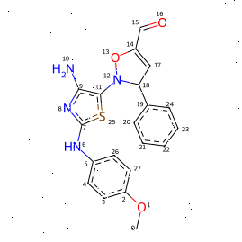 COc1ccc(Nc2nc(N)c(N3OC(C=O)=CC3c3ccccc3)s2)cc1